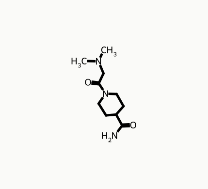 CN(C)CC(=O)N1CCC(C(N)=O)CC1